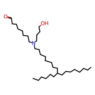 CCCCCCCCC(CCCCCC)CCCCCCCCN(CCCCO)CCCCCCCC=O